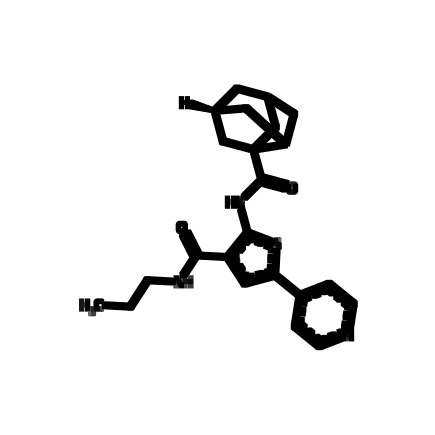 CCCNC(=O)c1cc(-c2ccncc2)sc1NC(=O)C12CC3CC1C[C@@H](C3)C2